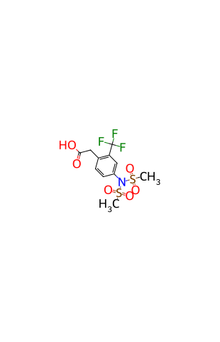 CS(=O)(=O)N(c1ccc(CC(=O)O)c(C(F)(F)F)c1)S(C)(=O)=O